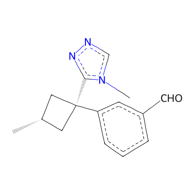 Cn1cnnc1[C@]1(c2cccc(C=O)c2)C[C@H](C)C1